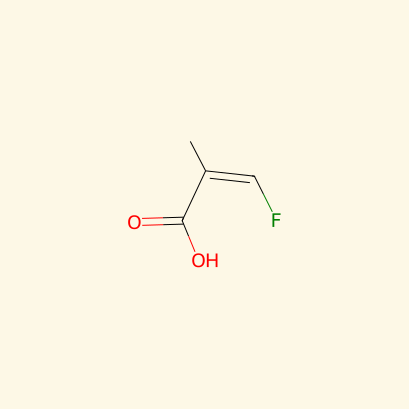 CC(=CF)C(=O)O